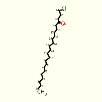 CCCCCCCCCCCCCCCCCCCCC(=O)CCCCl